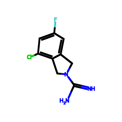 N=C(N)N1Cc2cc(F)cc(Cl)c2C1